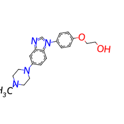 CN1CCN(c2ccc3c(c2)ncn3-c2ccc(OCCO)cc2)CC1